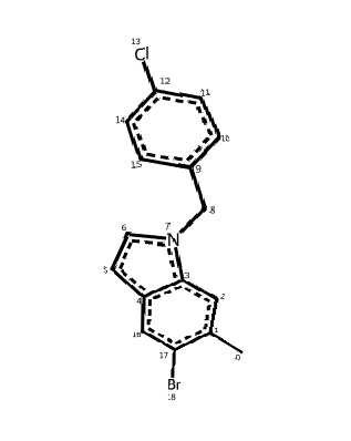 Cc1cc2c(ccn2Cc2ccc(Cl)cc2)cc1Br